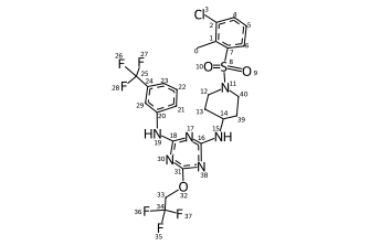 Cc1c(Cl)cccc1S(=O)(=O)N1CCC(Nc2nc(Nc3cccc(C(F)(F)F)c3)nc(OCC(F)(F)F)n2)CC1